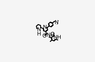 Cc1cc(C)c(CNC(=O)c2cc(-c3ccc(CN(C)C)cc3)nc(C3CCCCN3)c2)c(=O)[nH]1